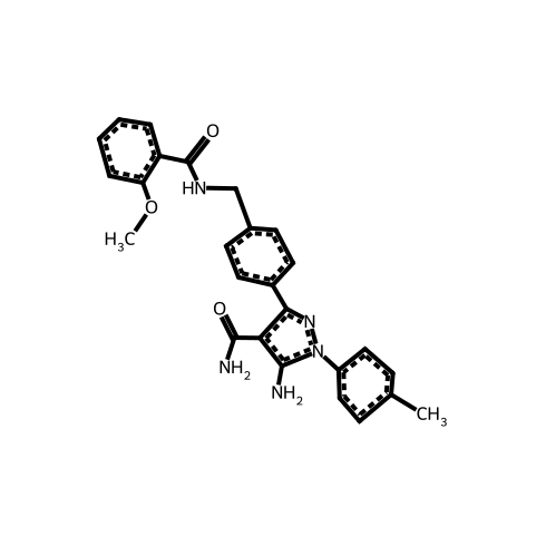 COc1ccccc1C(=O)NCc1ccc(-c2nn(-c3ccc(C)cc3)c(N)c2C(N)=O)cc1